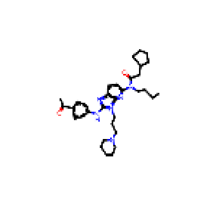 CCCCN(C(=O)CC1CCCC1)c1ccc2nc(Nc3ccc(C(C)=O)cc3)n(CCCN3CCCCC3)c2n1